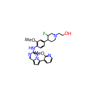 COc1cc(C2CCN(CCO)CC2F)ccc1Nc1ncc2ccc(-c3cccnc3OC)n2n1